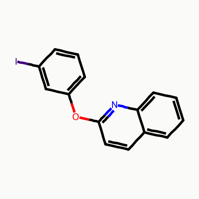 Ic1cccc(Oc2ccc3ccccc3n2)c1